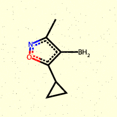 Bc1c(C)noc1C1CC1